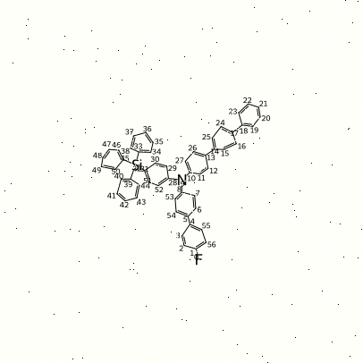 Fc1ccc(-c2ccc(N(c3ccc(-c4ccc(-c5ccccc5)cc4)cc3)c3ccc([Si](c4ccccc4)(c4ccccc4)c4ccccc4)cc3)cc2)cc1